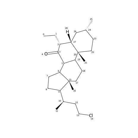 CC[C@H]1C(=O)C2C3CCC([C@H](C)CCCl)[C@@]3(C)CCC2[C@@]2(C)CC[C@@H](C)C[C@@H]12